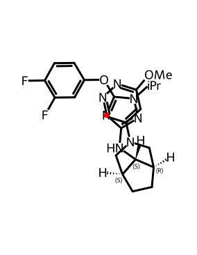 COc1cc(N2C[C@H]3CC[C@@H](C2)[C@@H]3Nc2nc(Oc3ccc(F)c(F)c3)n(C(C)C)n2)cnn1